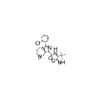 CNC(=O)[C@@H](NC(=O)c1nc(-c2ccccc2Cl)n2c1CN(C)CCC2)C(C)(C)C